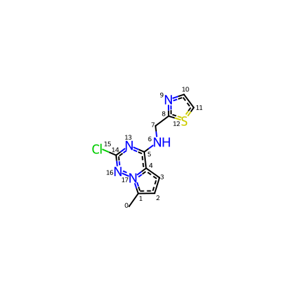 Cc1ccc2c(NCc3nccs3)nc(Cl)nn12